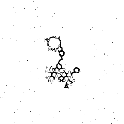 CCC1CC(CCc2ccc(CN3CCCNCCNCCCNCC3)c(Br)c2)CC(OC2OC(CO)C(O)C(O[C@@H](CC3CC3)C(=O)O)C2OC(=O)c2ccccc2)C1OC1OC(C)C(O)C(O)C1O